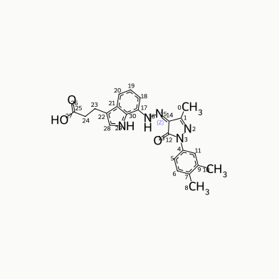 CC1=NN(c2ccc(C)c(C)c2)C(=O)/C1=N\Nc1cccc2c(CCC(=O)O)c[nH]c12